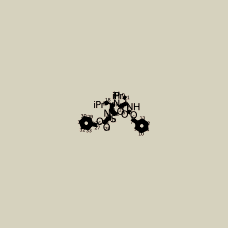 CC(C)C[C@H](NC(=O)OCc1ccccc1)C(=O)N[C@H](CC(C)C)c1csc(C(=O)OCc2ccccc2)n1